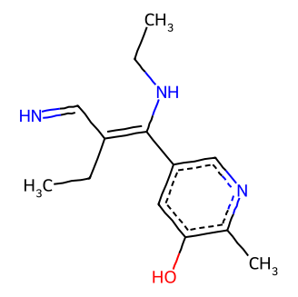 CCN/C(=C(\C=N)CC)c1cnc(C)c(O)c1